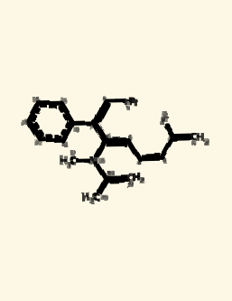 C=C(F)\C=C/C=C(/C(=C\CCC)c1ccccc1)N(C)C(=C)C